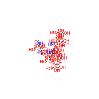 CC(=O)NC1C(O)[C@H](O[C@@H]2OC(CO)[C@H](O)[C@H](O[C@]3(OC=O)C[C@@H](O)[C@@H](C)C([C@H](O)[C@H](O)CO)O3)C2O)[C@H](CO)O[C@H]1OC1[C@@H](OCC2O[C@@H](O[C@@H]3C(CO)O[C@@H](O[C@@H]4C(CO)O[C@@H](C)C(NC(C)=O)[C@H]4O)C(NC(C)=O)[C@H]3O)C(O)[C@@H](O[C@H]3O[C@H](CO)[C@@H](O)C(O)C3O[C@@H]3OC(CO)[C@@H](O[C@@H]4OC(CO[C@]5(OC=O)C[C@@H](O)[C@@H](C)C([C@H](O)[C@H](O)CO)O5)[C@H](O)[C@H](O)C4O)[C@H](O)C3NC(C)=O)[C@@H]2O)OC(CO)[C@@H](O)[C@@H]1O